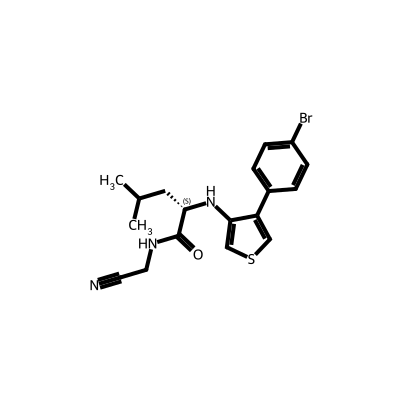 CC(C)C[C@H](Nc1cscc1-c1ccc(Br)cc1)C(=O)NCC#N